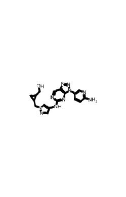 Nc1ccc(-n2nnc3cnc(Nc4cnn(CC5CC5CO)c4)nc32)cn1